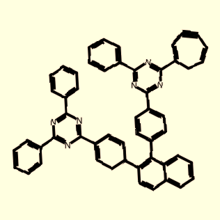 C1#CC=C(c2nc(-c3ccccc3)nc(-c3ccc(-c4c(C5C=CC(c6nc(-c7ccccc7)nc(-c7ccccc7)n6)=CC5)ccc5ccccc45)cc3)n2)CC=C1